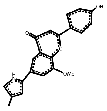 COc1cc(-c2cc(C)c[nH]2)cc2c(=O)cc(-c3ccc(O)cc3)oc12